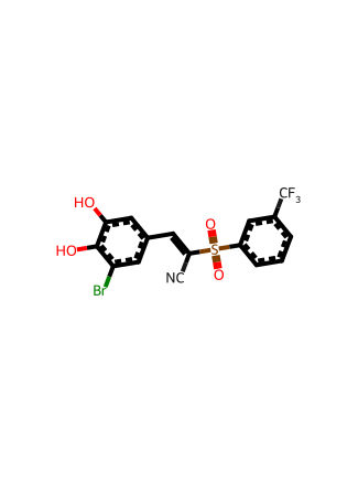 N#C/C(=C\c1cc(O)c(O)c(Br)c1)S(=O)(=O)c1cccc(C(F)(F)F)c1